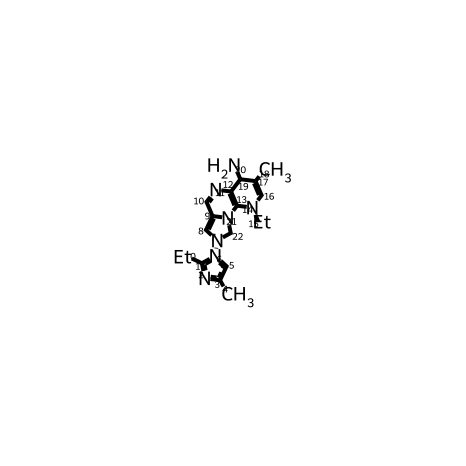 CCc1nc(C)cn1N1C=C2C=NC3=C(N(CC)C=C(C)C3N)N2C1